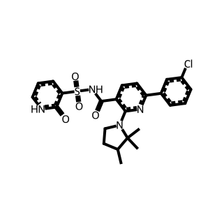 CC1CCN(c2nc(-c3cccc(Cl)c3)ccc2C(=O)NS(=O)(=O)c2ccc[nH]c2=O)C1(C)C